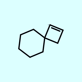 [C]1=CCC12CCCCC2